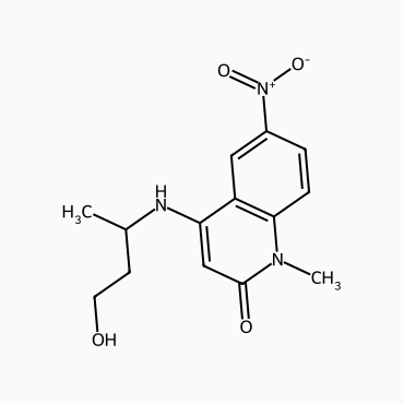 CC(CCO)Nc1cc(=O)n(C)c2ccc([N+](=O)[O-])cc12